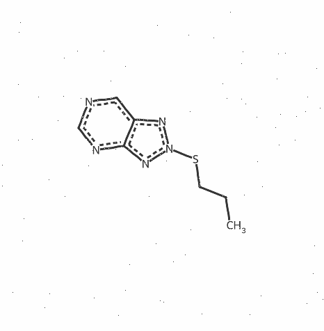 CCCSn1nc2cncnc2n1